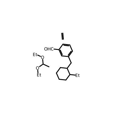 C=C.CCC1CCCCC1Cc1cccc(C=O)c1.CCOC(C)OCC